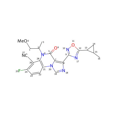 COCC(C)n1c(=O)c2c(-c3noc(C4CC4C)n3)ncn2c2ccc(F)c(C#N)c21